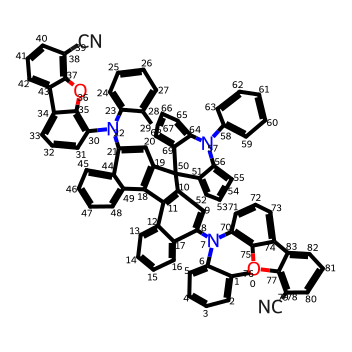 Cc1ccccc1N(c1cc2c(c3ccccc13)-c1c(cc(N(c3ccccc3C)c3cccc4c3oc3c(C#N)cccc34)c3ccccc13)C21c2ccccc2N(c2ccccc2)c2ccccc21)c1cccc2c1oc1c(C#N)cccc12